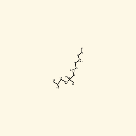 CCCOCCOCC(C)(C)OCC(C)C